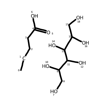 CCCCC(=O)O.OCC(O)C(O)C(O)C(O)CO